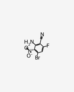 N#Cc1c(F)cc(Br)c([N+](=O)[O-])c1N